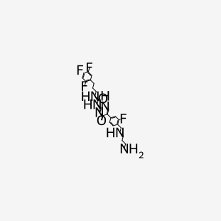 NCCCNCc1ccc(-c2c[nH]c(NC(=O)NCCCc3cc(F)c(F)cc3F)nc2=O)cc1F